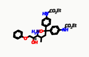 CCOC(=O)Nc1ccc(C(O)(CC(C)C(N)[C@@H](O)COc2ccccc2)c2ccc(NC(=O)OCC)cc2)cc1